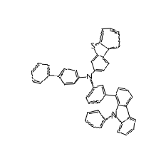 c1ccc(-c2ccc(N(c3cccc(-c4cccc5c6ccccc6n(-c6ccccc6)c45)c3)c3ccc4c(c3)sc3ccccc34)cc2)cc1